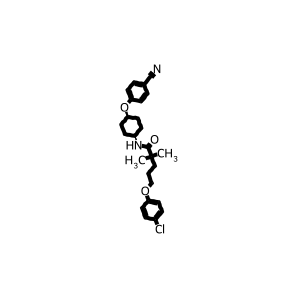 CC(C)(CCCOc1ccc(Cl)cc1)C(=O)N[C@H]1CC[C@H](Oc2ccc(C#N)cc2)CC1